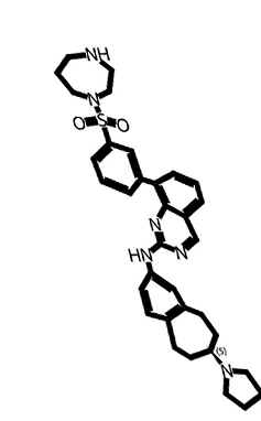 O=S(=O)(c1cccc(-c2cccc3cnc(Nc4ccc5c(c4)CC[C@@H](N4CCCC4)CC5)nc23)c1)N1CCCNCC1